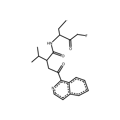 [CH2]CC(NC(=O)C(CC(=O)c1nccc2ccccc12)C(C)C)C(=O)[CH]F